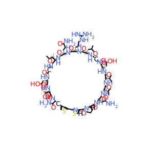 CC[C@H](C)[C@@H]1NC(=O)[C@H](CCC(N)=O)NC(=O)[C@H](CCCNC(=N)N)NC(=O)[C@H](CC(C)C)NC(=O)CNC(=O)[C@H](CC(=O)O)NC(=O)[C@H](C(C)C)NC(=O)[C@H](C(C)C)NC(=O)[C@H](CC(N)=O)NC(=O)[C@@H]2CCCN2C(=O)[C@@H]2CSC(=N2)c2cc(cs2)CC(C(N)=O)NC(=O)[C@H]([C@@H](C)O)NC(=O)[C@H](CC(=O)O)NC(=O)CNC1=O